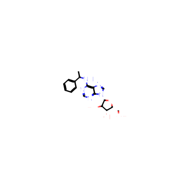 CC(Nc1ncnc2c1ncn2[C@@H]1O[C@H](CO)[C@H](O)C1O)c1ccccc1